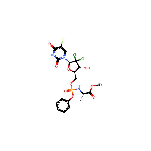 CC(C)OC(=O)[C@H](C)NP(=O)(OC[C@H]1O[C@@H](n2cc(F)c(=O)[nH]c2=O)C(Cl)(Cl)[C@@H]1O)Oc1ccccc1